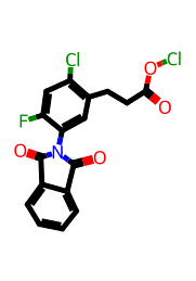 O=C(CCc1cc(N2C(=O)c3ccccc3C2=O)c(F)cc1Cl)OCl